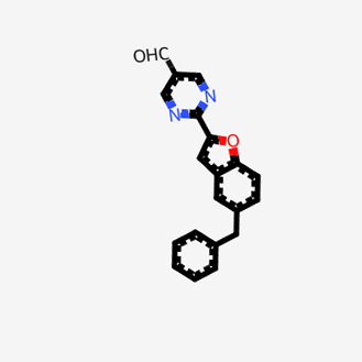 O=Cc1cnc(-c2cc3cc(Cc4ccccc4)ccc3o2)nc1